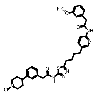 O=C(Cc1cccc(OC(F)(F)F)c1)Nc1ccc(CCCCc2nnc(NC(=O)Cc3cccc(C4CCN(Cl)CC4)c3)s2)cn1